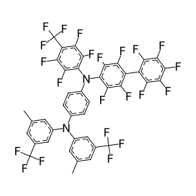 Cc1cc(N(c2ccc(N(c3c(F)c(F)c(-c4c(F)c(F)c(F)c(F)c4F)c(F)c3F)c3c(F)c(F)c(C(F)(F)F)c(F)c3F)cc2)c2cc(C)cc(C(F)(F)F)c2)cc(C(F)(F)F)c1